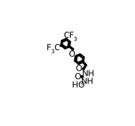 O=C(NO)NC1Cc2ccc(OCc3cc(C(F)(F)F)cc(C(F)(F)F)c3)cc2O1